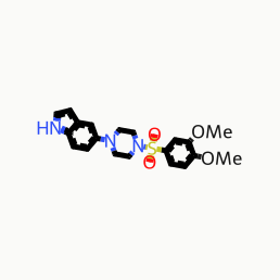 COc1ccc(S(=O)(=O)N2CCN(c3ccc4[nH]ccc4c3)CC2)cc1OC